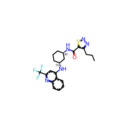 CCCc1nnsc1C(=O)N[C@@H]1CCC[C@H](Nc2cc(C(F)(F)F)nc3ccccc23)C1